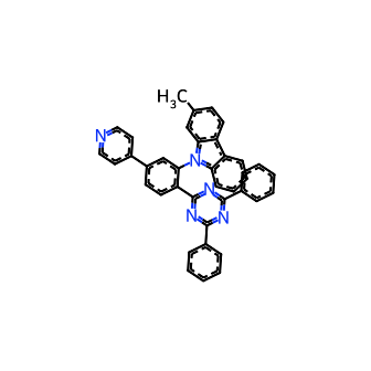 Cc1ccc2c3ccccc3n(-c3cc(-c4ccncc4)ccc3-c3nc(-c4ccccc4)nc(-c4ccccc4)n3)c2c1